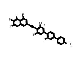 Cc1ccc(-c2ccc(-c3cc(C)c(C#Cc4cc(F)c5c(F)c(F)c(F)cc5c4)c(F)c3)c(F)c2)cc1